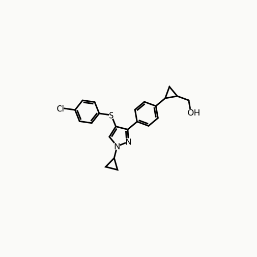 OCC1CC1c1ccc(-c2nn(C3CC3)cc2Sc2ccc(Cl)cc2)cc1